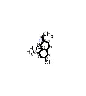 C/C=C1\CCC2CC(O)C[C@H](C)[C@]2(C)C1